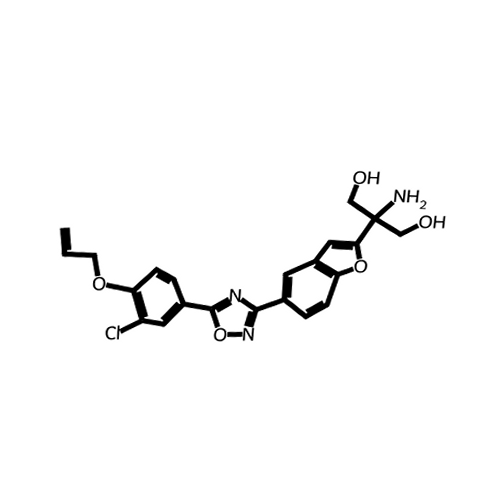 C=CCOc1ccc(-c2nc(-c3ccc4oc(C(N)(CO)CO)cc4c3)no2)cc1Cl